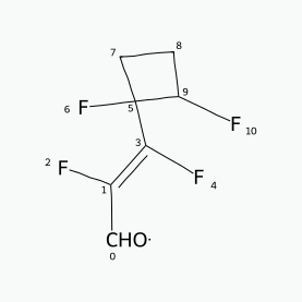 O=[C]C(F)=C(F)C1(F)CCC1F